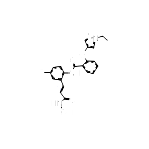 O=C(/C=C/c1cc(F)ccc1NC(=O)c1ccccc1Oc1cnn(CI)c1)NO